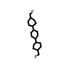 FCC1CCC(C2CCC(C3CCC(CF)CC3)CC2)CC1